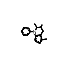 Cc1ccccc1CC(C)C(C)Nc1ccccc1